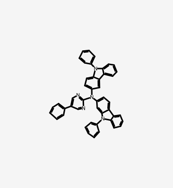 c1ccc(-c2cnc(N(c3ccc4c(c3)c3ccccc3n4-c3ccccc3)c3ccc4c5ccccc5n(-c5ccccc5)c4c3)nc2)cc1